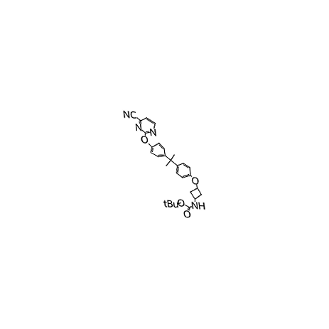 CC(C)(C)OC(=O)NC1CC(Oc2ccc(C(C)(C)c3ccc(Oc4nccc(C#N)n4)cc3)cc2)C1